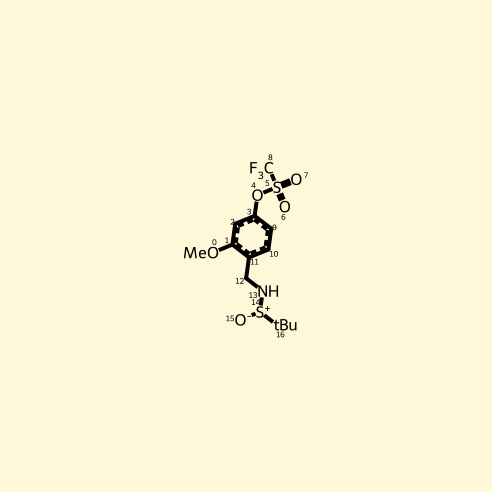 COc1cc(OS(=O)(=O)C(F)(F)F)ccc1CN[S+]([O-])C(C)(C)C